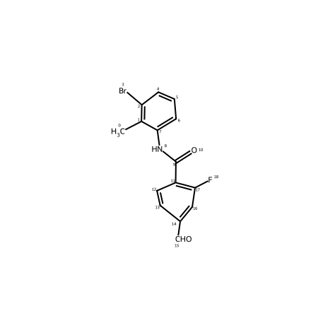 Cc1c(Br)cccc1NC(=O)c1ccc(C=O)cc1F